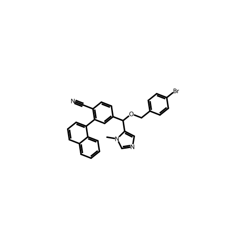 Cn1cncc1C(OCc1ccc(Br)cc1)c1ccc(C#N)c(-c2cccc3ccccc23)c1